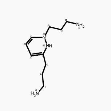 NCCCC1=CC=CN(CCCN)N1